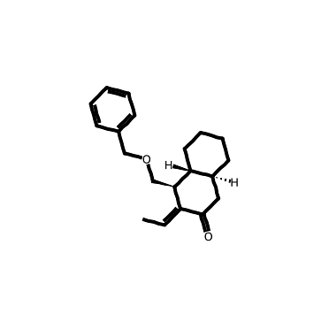 C/C=C1/C(=O)C[C@@H]2CCCC[C@H]2[C@@H]1COCc1ccccc1